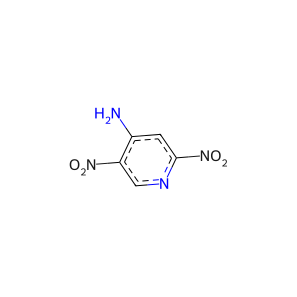 Nc1cc([N+](=O)[O-])ncc1[N+](=O)[O-]